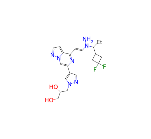 CCC(C1CC(F)(F)C1)N(N)/C=C/c1nc(-c2cnn(C[C@@H](O)CO)c2)cn2nccc12